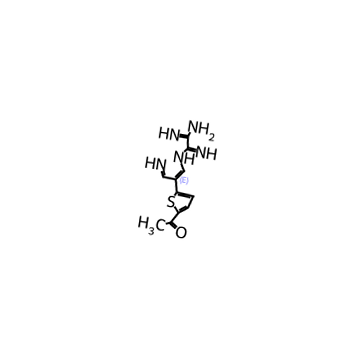 CC(=O)c1ccc(/C(C=N)=C/NC(=N)C(=N)N)s1